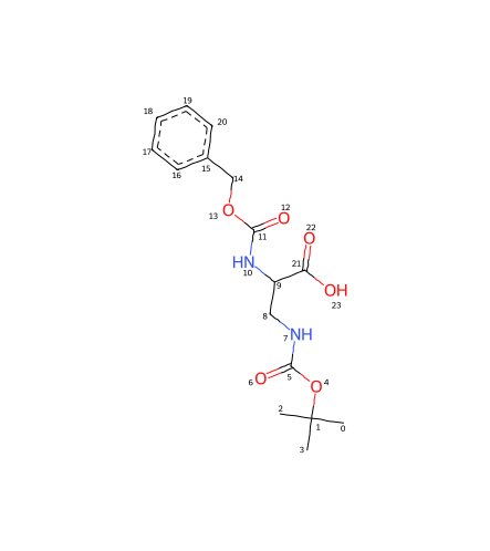 CC(C)(C)OC(=O)NCC(NC(=O)OCc1ccccc1)C(=O)O